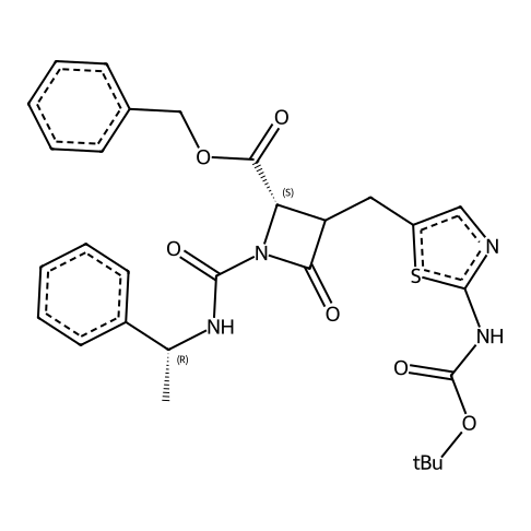 C[C@@H](NC(=O)N1C(=O)C(Cc2cnc(NC(=O)OC(C)(C)C)s2)[C@H]1C(=O)OCc1ccccc1)c1ccccc1